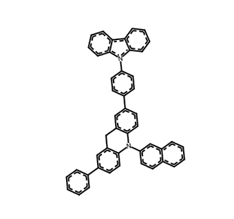 c1ccc(-c2ccc3c(c2)Cc2cc(-c4ccc(-n5c6ccccc6c6ccccc65)cc4)ccc2N3c2ccc3ccccc3c2)cc1